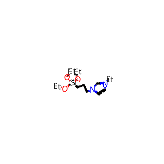 CCO[Si](CCCN1C=CN(CC)C1)(OCC)OCC